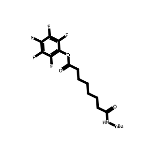 CCCCNC(=O)CCCCCCC(=O)Oc1c(F)c(F)c(F)c(F)c1F